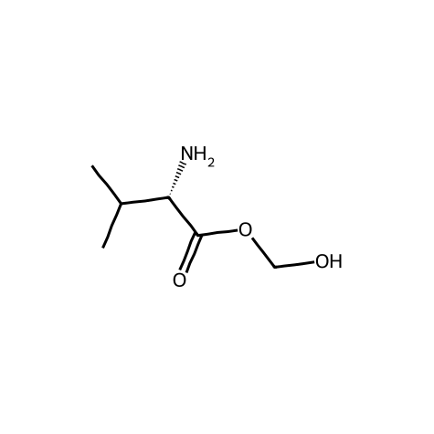 CC(C)[C@H](N)C(=O)OCO